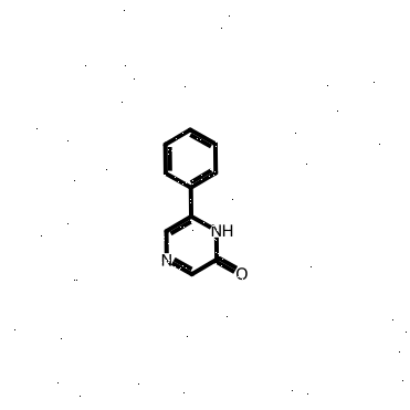 O=c1cncc(-c2ccccc2)[nH]1